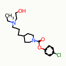 CCN(CCO)CCCC1CCN(C(=O)Oc2ccc(Cl)cc2)CC1